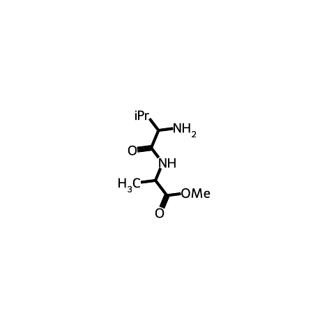 COC(=O)C(C)NC(=O)C(N)C(C)C